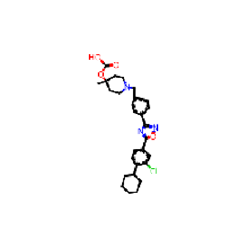 CC1(OC(=O)O)CCN(Cc2ccc(-c3noc(-c4ccc(C5CCCCC5)c(Cl)c4)n3)cc2)CC1